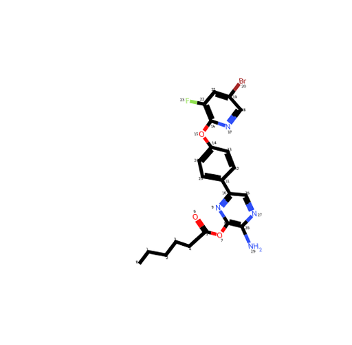 CCCCCC(=O)Oc1nc(-c2ccc(Oc3ncc(Br)cc3F)cc2)cnc1N